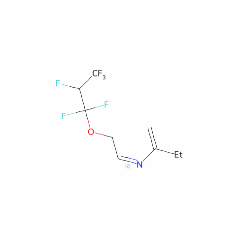 C=C(CC)/N=C\COC(F)(F)C(F)C(F)(F)F